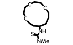 CNC(=S)NC1CCCCCCCCCCCC1